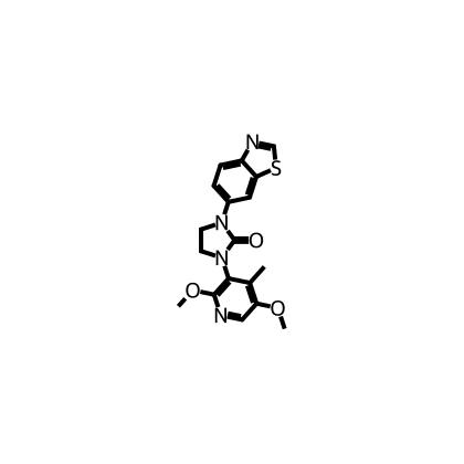 COc1cnc(OC)c(N2CCN(c3ccc4ncsc4c3)C2=O)c1C